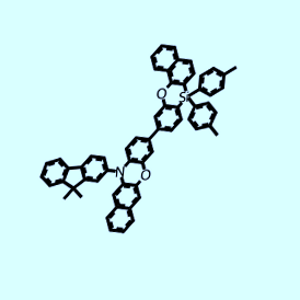 Cc1ccc([Si]2(c3ccc(C)cc3)c3ccc(-c4ccc5c(c4)Oc4cc6ccccc6cc4N5c4ccc5c(c4)C(C)(C)c4ccccc4-5)cc3Oc3c2ccc2ccccc32)cc1